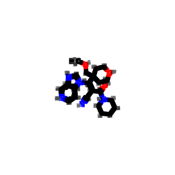 COCC1(C(=C(C#N)C(=O)N2CCCCC2)n2cnc3cnccc32)CCOCC1